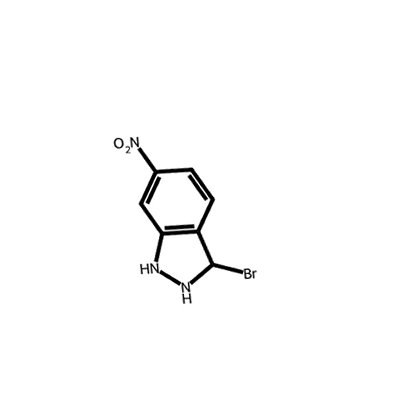 O=[N+]([O-])c1ccc2c(c1)NNC2Br